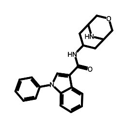 O=C(NC1CC2COCC(C1)N2)c1cn(-c2ccccc2)c2ccccc12